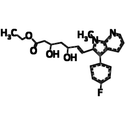 CCOC(=O)CC(O)CC(O)C=Cc1c(-c2ccc(F)cc2)c2cccnc2n1C